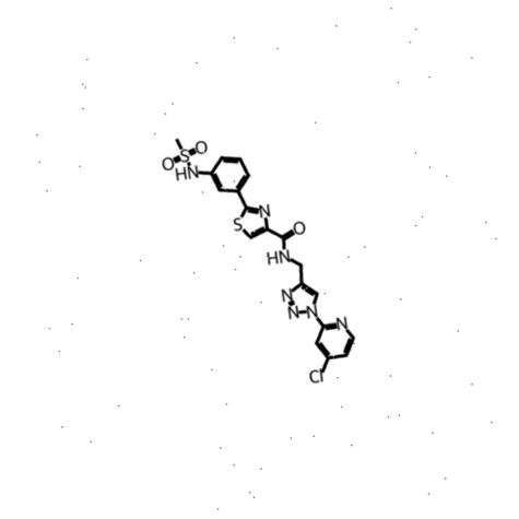 CS(=O)(=O)Nc1cccc(-c2nc(C(=O)NCc3cn(-c4cc(Cl)ccn4)nn3)cs2)c1